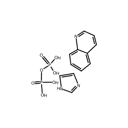 O=P(O)(O)OP(=O)(O)O.c1c[nH]cn1.c1ccc2ncccc2c1